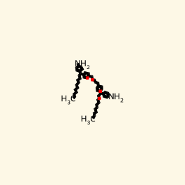 CCCCCCCCCCCC(c1ccc(N)cc1)c1ccc(CCCCCc2ccc(C(CCCCCCCCCCC)c3ccc(N)cc3)cc2)cc1